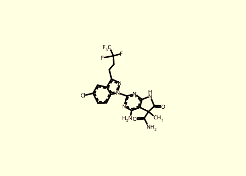 CC1(C(N)=O)C(=O)Nc2nc(-n3nc(CCC(F)(F)C(F)(F)F)c4cc(Cl)ccc43)nc(N)c21